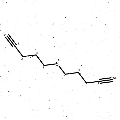 C#CCCCSCCCC#C